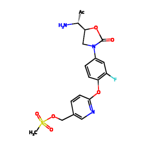 CC(=O)[C@@H](N)C1CN(c2ccc(Oc3ccc(COS(C)(=O)=O)cn3)c(F)c2)C(=O)O1